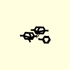 CC12CC3CC(C)(C1)CC(P(Cc1ccccc1)C14CC5CC(C)(CC(C)(C5)C1)C4)(C3)C2